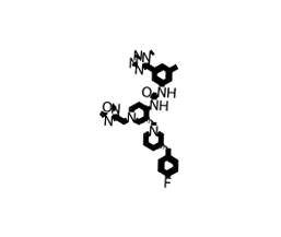 Cc1cc(NC(=O)N[C@@H]2CCN(Cc3ncon3)C[C@H]2CN2CCC[C@@H](Cc3ccc(F)cc3)C2)cc(-c2nnnn2C)c1